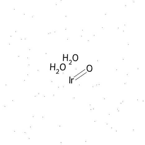 O.O.[O]=[Ir]